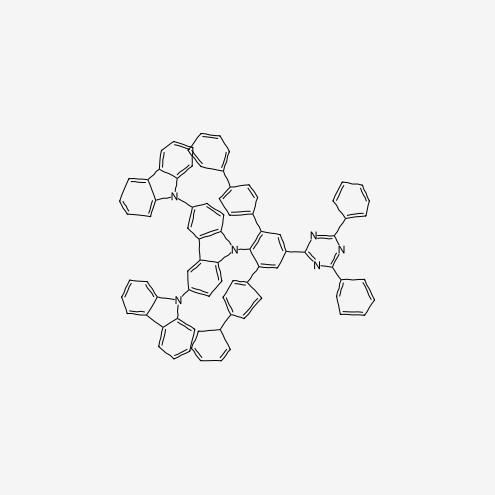 C1=CCC(c2ccc(-c3cc(-c4nc(-c5ccccc5)nc(-c5ccccc5)n4)cc(-c4ccc(-c5ccccc5)cc4)c3-n3c4ccc(-n5c6ccccc6c6ccccc65)cc4c4cc(-n5c6ccccc6c6ccccc65)ccc43)cc2)C=C1